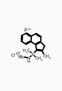 CC1=C([Si](C)(C)NC(C)(C)C)c2c(ccc3ccccc23)C1.[Cl-].[Cl-].[Zr+2]